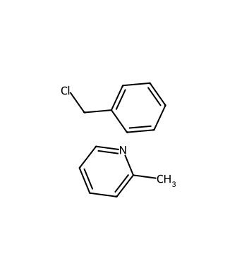 Cc1ccccn1.ClCc1ccccc1